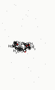 COc1cc(C(CC(=O)O)c2ccc(C)c(CN3CC(C)Oc4cc(C5CCCCCC(C(=O)CC6N=C(c7ccc(Cl)cc7)c7c(sc(C)c7C)-n7c(C)nnc76)C5)ccc4S3(=O)=O)c2)cc2nnn(C)c12